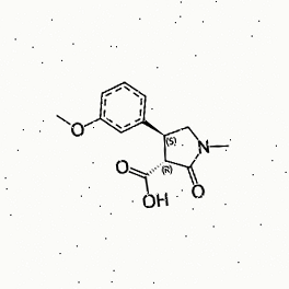 COc1cccc([C@H]2CN(C)C(=O)[C@@H]2C(=O)O)c1